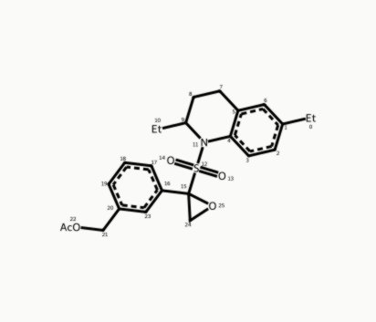 CCc1ccc2c(c1)CCC(CC)N2S(=O)(=O)C1(c2cccc(COC(C)=O)c2)CO1